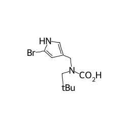 CC(C)(C)CN(Cc1c[nH]c(Br)c1)C(=O)O